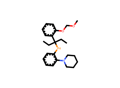 CCC(CC)(Pc1ccccc1N1CCCCC1)c1ccccc1OCOC